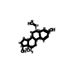 C[C@]12CCC3C4C=CC(O)=CC4[C@@H](CO)CC3C1CC[C@@H]2O